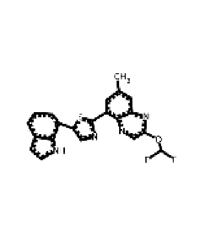 Cc1cc(-c2ncc(-c3cccc4cc[nH]c34)s2)c2ncc(OC(F)F)nc2c1